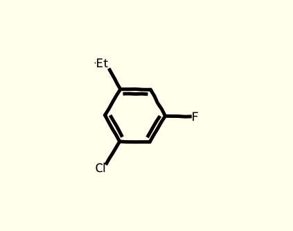 C[CH]c1cc(F)cc(Cl)c1